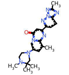 Cc1nc2ccc(-c3cc(=O)n4cc(N5CCN(C)C(C)(C)C5)cc(C)c4n3)nn2n1